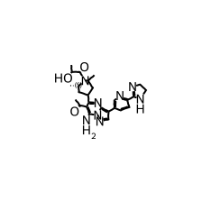 CC(=O)c1c(C2CC(C)N(C(=O)C(C)O)[C@@H](C)C2)nc2c(-c3ccc(C4=NCCN4)nc3)cnn2c1N